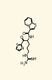 N=C(N)NCCCC(NC(=O)C1=CSC2=CC=CCN21)C(=O)c1nccs1